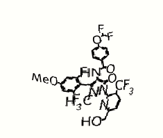 COc1cc(F)c(-c2c(NC(=O)c3ccc(OC(F)F)cc3)c(=O)n(C3N=C(CO)C=CC3C(F)(F)F)n2C)c(F)c1